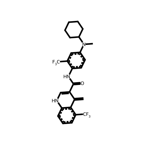 C=C1C(C(=O)Nc2ccc(N(C)C3CCCCC3)cc2C(F)(F)F)=CNc2cccc(C(F)(F)F)c21